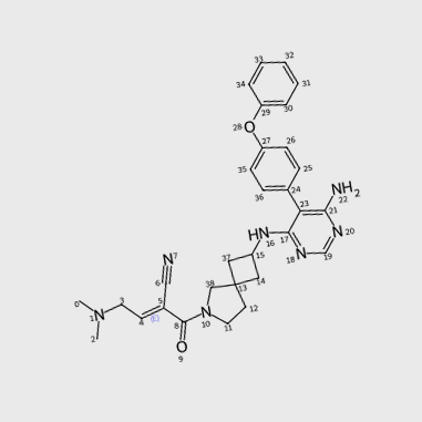 CN(C)C/C=C(\C#N)C(=O)N1CCC2(CC(Nc3ncnc(N)c3-c3ccc(Oc4ccccc4)cc3)C2)C1